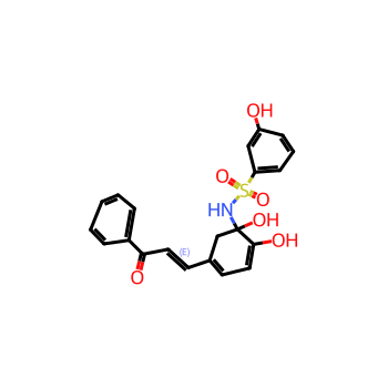 O=C(/C=C/C1=CC=C(O)C(O)(NS(=O)(=O)c2cccc(O)c2)C1)c1ccccc1